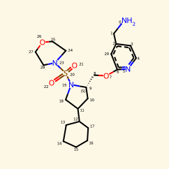 NCc1ccnc(OC[C@@H]2CC(C3CCCCC3)CN2S(=O)(=O)N2CCOCC2)c1